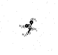 CCOC(=O)CCc1cnc(N(Cc2ccc(OC)cc2)Cc2ccc(OC)cc2)nc1OC